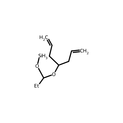 C=CCC(CC=C)OC(CC)O[SiH3]